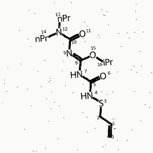 C=CCSNC(=O)NC(=NC(=O)N(CCC)CCC)OC(C)C